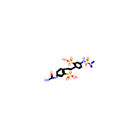 CNC(=O)Nc1ccc(/C=C/c2ccc(NS(=O)(=O)N(C)C)cc2S(=O)(=O)O)c(S(=O)(=O)O)c1